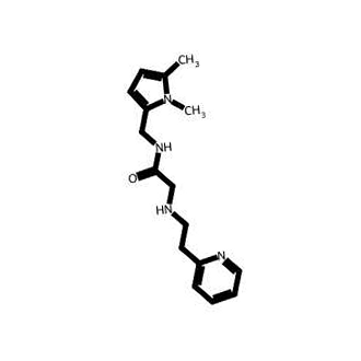 Cc1ccc(CNC(=O)CNCCc2ccccn2)n1C